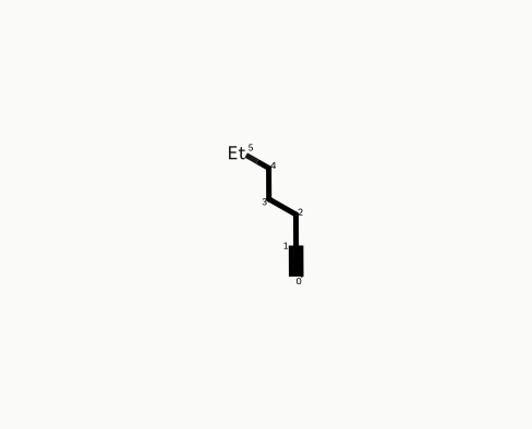 [C]#CCCCCC